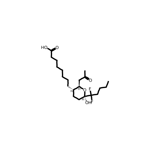 CCCCC(F)(F)[C@@]1(O)CC[C@H](CCCCCCCC(=O)O)[C@@H](CC(C)=O)O1